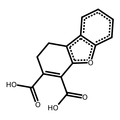 O=C(O)C1=C(C(=O)O)c2oc3ccccc3c2CC1